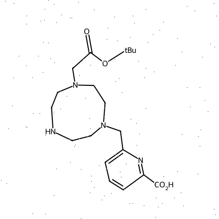 CC(C)(C)OC(=O)CN1CCNCCN(Cc2cccc(C(=O)O)n2)CC1